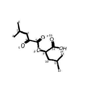 CC(C)CC(=O)C(=O)OC(CC(C)C)C(=O)O